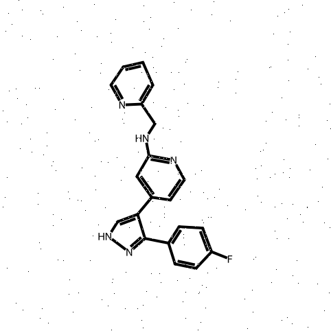 Fc1ccc(-c2n[nH]cc2-c2ccnc(NCc3ccccn3)c2)cc1